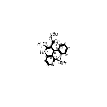 CCC(C)OC(=O)C1=C(C)Nc2ccnc(OC(C)C)c2C1c1ccccc1C(F)(F)F